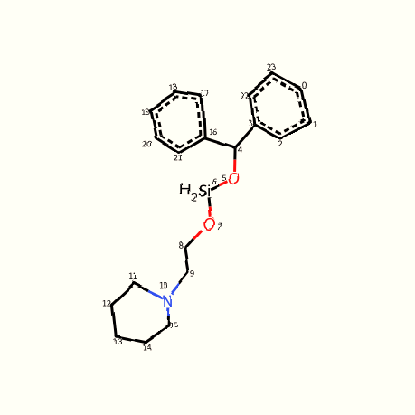 c1ccc(C(O[SiH2]OCCN2CCCCC2)c2ccccc2)cc1